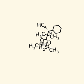 C#C[C@H](C1CCCCC1)C(C)(C)C(O[SiH2]C)O[SiH2]C